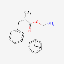 CC(Cc1ccccc1)C(=O)OCN.c1cc2cc(c1)C2